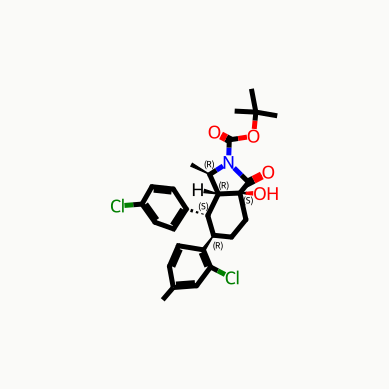 Cc1ccc([C@@H]2CC[C@@]3(O)C(=O)N(C(=O)OC(C)(C)C)[C@H](C)[C@H]3[C@H]2c2ccc(Cl)cc2)c(Cl)c1